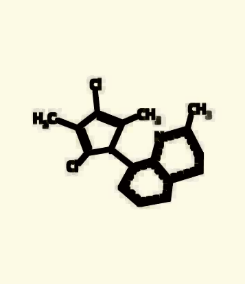 CC1=C(Cl)C(C)=C(Cl)[C]1c1cccc2ccc(C)nc12